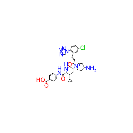 NC1CC[N+](C(=O)/C=C/c2cc(Cl)ccc2-n2cnnn2)(C2CNC(C(=O)Nc3ccc(C(=O)O)cc3)C(C3CC3)C2)CC1